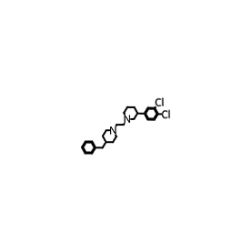 Clc1ccc(C2CCCN(CCN3CCC(Cc4ccccc4)CC3)C2)cc1Cl